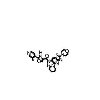 Cc1cnccc1C1NC(C(=O)Nc2cc3sc(N4CCOCC4)nc3nc2N2CCCCC2)=CO1